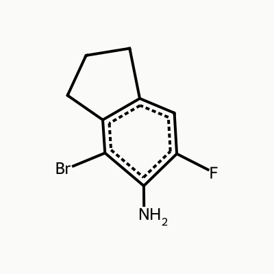 Nc1c(F)cc2c(c1Br)CCC2